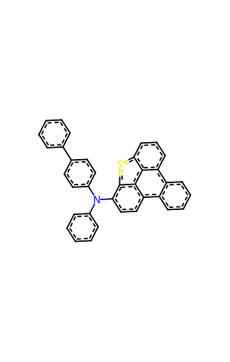 c1ccc(-c2ccc(N(c3ccccc3)c3ccc4c5ccccc5c5cccc6sc3c4c65)cc2)cc1